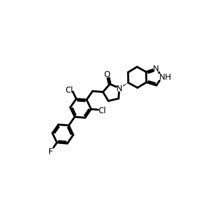 O=C1C(Cc2c(Cl)cc(-c3ccc(F)cc3)cc2Cl)CCN1[C@@H]1CCc2n[nH]cc2C1